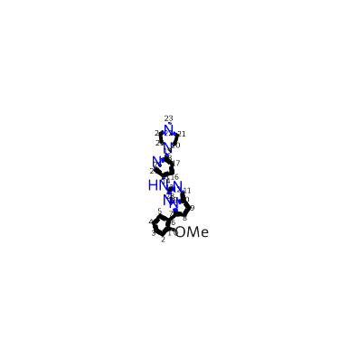 COc1ccccc1-c1ccc2cnc(Nc3ccc(N4CCN(C)CC4)nc3)nn12